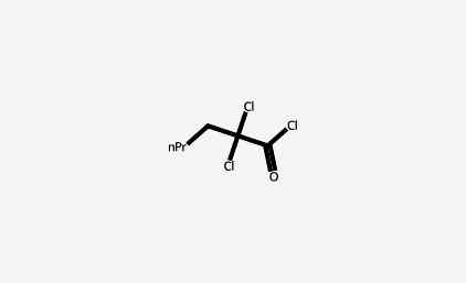 CCCCC(Cl)(Cl)C(=O)Cl